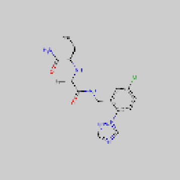 CC[C@H](N[C@H](CC(C)(C)C)C(N)=O)C(=O)NCc1cc(Cl)ccc1-n1cncn1